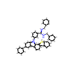 c1ccc(C/N=C(\NCc2ccccc2)c2cccc(-n3c4ccc(-c5ccccc5)cc4c4ccc5c6ccccc6sc5c43)c2)cc1